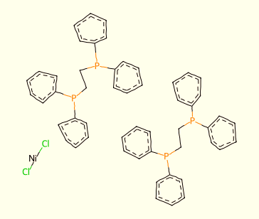 [Cl][Ni][Cl].c1ccc(P(CCP(c2ccccc2)c2ccccc2)c2ccccc2)cc1.c1ccc(P(CCP(c2ccccc2)c2ccccc2)c2ccccc2)cc1